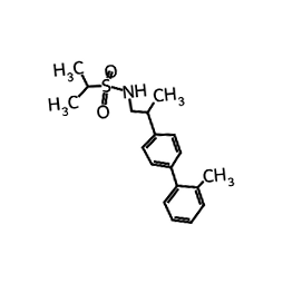 Cc1ccccc1-c1ccc(C(C)CNS(=O)(=O)C(C)C)cc1